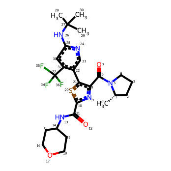 C[C@H]1CCCN1C(=O)c1nc(C(=O)NC2CCOCC2)sc1-c1cnc(NC(C)(C)C)cc1C(F)(F)F